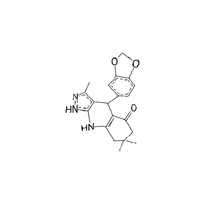 Cc1n[nH]c2c1C(c1ccc3c(c1)OCO3)C1=C(CC(C)(C)CC1=O)N2